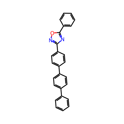 c1ccc(-c2ccc(-c3ccc(-c4noc(-c5ccccc5)n4)cc3)cc2)cc1